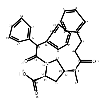 CN(C(=O)CCc1ccccc1)[C@H]1C[C@@H](C(=O)O)N(C(=O)C(c2ccccc2)c2ccccc2)C1